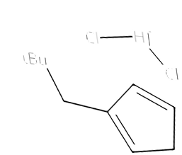 CC(C)(C)CC1=C[CH]C=C1.[Cl][Hf][Cl]